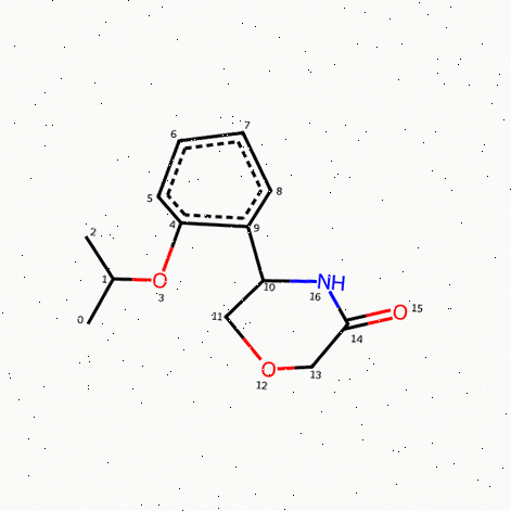 CC(C)Oc1ccccc1C1COCC(=O)N1